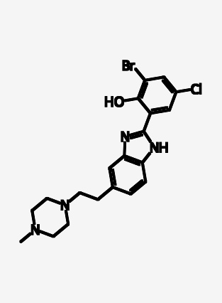 CN1CCN(CCc2ccc3[nH]c(-c4cc(Cl)cc(Br)c4O)nc3c2)CC1